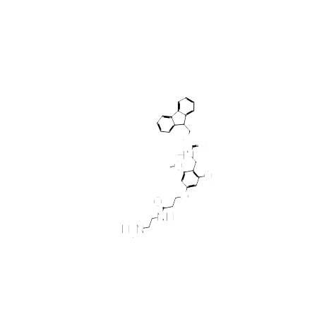 COc1cc(OCCC(=O)NCCN)cc(OC)c1CNC(=O)OCC1c2ccccc2-c2ccccc21